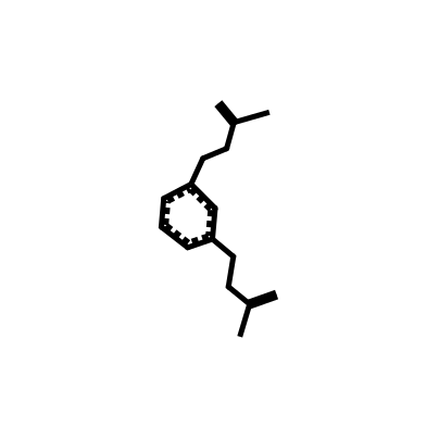 C=C(C)CCc1cccc(CCC(=C)C)c1